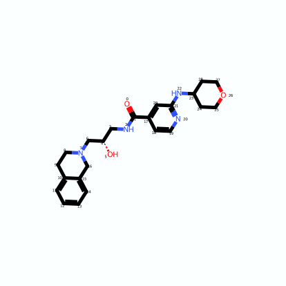 O=C(NC[C@H](O)CN1CCc2ccccc2C1)c1ccnc(NC2CCOCC2)c1